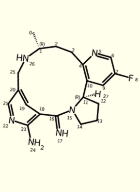 C[C@@H]1CCc2ncc(F)cc2[C@H]2CCCN2C(=N)c2cc(cnc2N)CN1